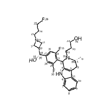 C[C@@H]1Cc2c([nH]c3ccccc23)C(c2c(F)cc([C@H](O)C3CN(CCCF)C3)cc2F)N1CCCO